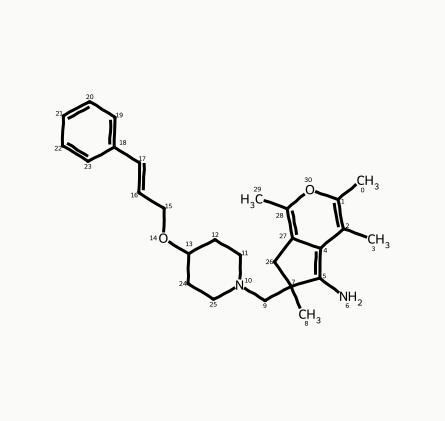 CC1=C(C)C2=C(N)C(C)(CN3CCC(OCC=Cc4ccccc4)CC3)CC2=C(C)O1